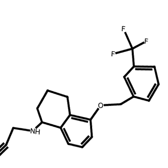 C#CCNC1CCCc2c(OCc3cccc(C(F)(F)F)c3)cccc21